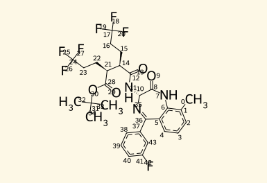 Cc1cccc2c1NC(=O)[C@@H](NC(=O)[C@H](CCC(F)(F)F)[C@H](CCC(F)(F)F)C(=O)OC(C)(C)C)N=C2c1cccc(F)c1